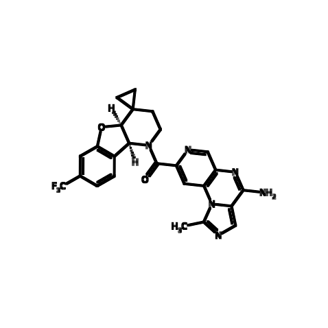 Cc1ncc2c(N)nc3cnc(C(=O)N4CCC5(CC5)[C@@H]5Oc6cc(C(F)(F)F)ccc6[C@@H]54)cc3n12